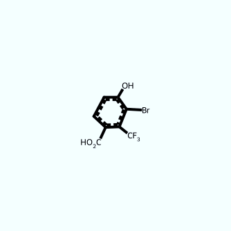 O=C(O)c1ccc(O)c(Br)c1C(F)(F)F